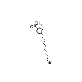 C[S+]([O-])c1ccc(CCCCCCCCCCBr)cc1